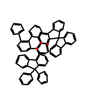 c1ccc(-c2ccccc2-c2c(-c3ccccc3)cccc2N(c2ccc3c(c2)C2(c4ccccc4-c4ccccc42)c2ccccc2-3)c2cccc3c2-c2ccccc2C3(c2ccccc2)c2ccccc2)cc1